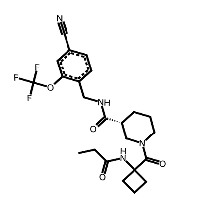 CCC(=O)NC1(C(=O)N2CCC[C@@H](C(=O)NCc3ccc(C#N)cc3OC(F)(F)F)C2)CCC1